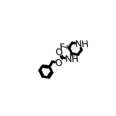 O=C(N[C@@H]1CCNC[C@H]1F)OCc1ccccc1